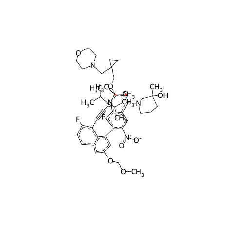 COCOc1cc(-c2c([N+](=O)[O-])cc3c(N4CCCC(C)(O)C4)nc(OCC4(CN5CCOCC5)CC4)nc3c2F)c2c(C#C[Si](C(C)C)(C(C)C)C(C)C)c(F)ccc2c1